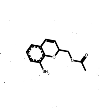 Bc1cccc2c1OC(COC(C)=O)C=C2